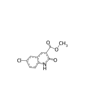 COC(=O)c1cc2cc(Cl)ccc2[nH]c1=O